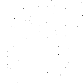 CCCc1cc(Oc2ccc(OCC)cc2)ccc1OCC=C(Br)Br